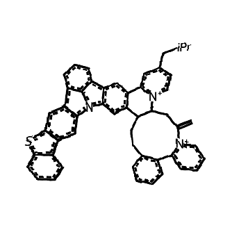 C=C1CC2C(CCc3ccccc3-c3cccc[n+]31)c1cc3c(cc1-c1cc(CC(C)C)cc[n+]12)c1cccc2c4cc5sc6ccccc6c5cc4n3c12